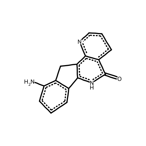 Nc1cccc2c1Cc1c-2[nH]c(=O)c2cccnc12